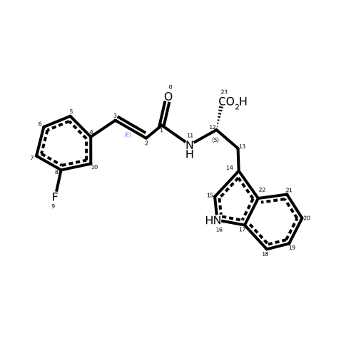 O=C(/C=C/c1cccc(F)c1)N[C@@H](Cc1c[nH]c2ccccc12)C(=O)O